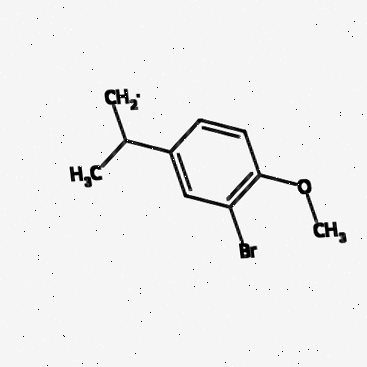 [CH2]C(C)c1ccc(OC)c(Br)c1